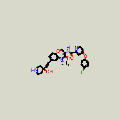 CN1C(=O)[C@H](NC(=O)c2cc(Oc3ccc(F)cc3)ccn2)COc2ccc(C#CC3(O)CCNCC3)cc21